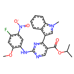 COc1cc(F)c([N+](=O)[O-])cc1Nc1ncc(C(=O)OC(C)C)c(-c2cn(C)c3ccccc23)n1